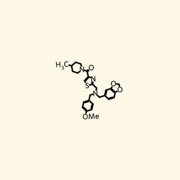 COc1ccc(CN(Cc2ccc3c(c2)OCO3)Cc2nc(C(=O)N3CCC(C)CC3)cs2)cc1